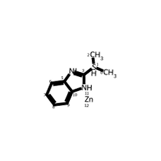 C[SH](C)c1nc2ccccc2[nH]1.[Zn]